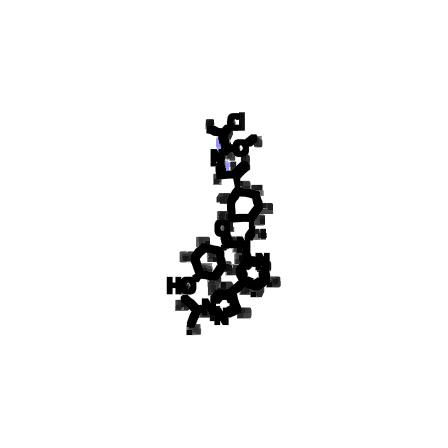 C=C(/C=N\C(OC)=C(/C)Cl)[C@H]1CC[C@H](CN(c2cc(-c3cnn(C(C)C)c3)ccn2)C(=O)[C@H]2CC[C@H](O)CC2)CC1